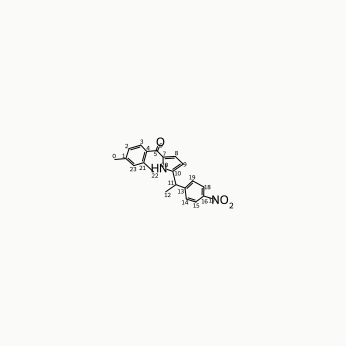 Cc1ccc(C(=O)c2ccc(C(C)c3ccc([N+](=O)[O-])cc3)[nH]2)c(C)c1